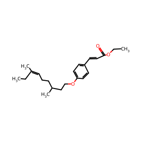 CCOC(=O)C=Cc1ccc(OCCC(C)CCC=C(C)CC)cc1